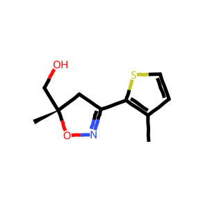 Cc1ccsc1C1=NO[C@](C)(CO)C1